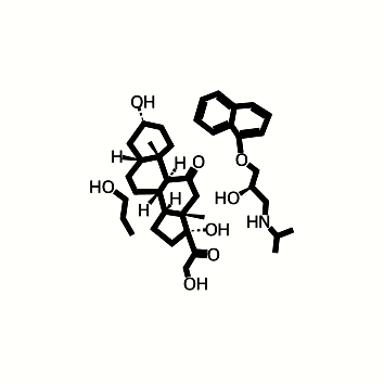 CC(C)NC[C@@H](O)COc1cccc2ccccc12.CCCO.C[C@]12CC[C@@H](O)C[C@H]1CC[C@@H]1[C@@H]2C(=O)C[C@@]2(C)[C@H]1CC[C@]2(O)C(=O)CO